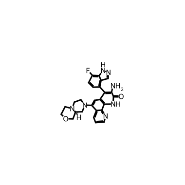 Nc1c(-c2ccc(F)c3[nH]ncc23)c2cc(N3CCN4CCOC[C@@H]4C3)c3cccnc3c2[nH]c1=O